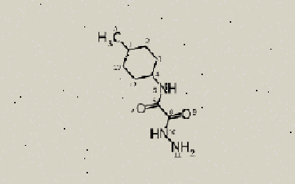 CC1CCC(NC(=O)C(=O)NN)CC1